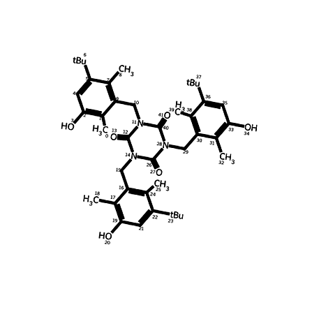 Cc1c(O)cc(C(C)(C)C)c(C)c1Cn1c(=O)n(Cc2c(C)c(O)cc(C(C)(C)C)c2C)c(=O)n(Cc2c(C)c(O)cc(C(C)(C)C)c2C)c1=O